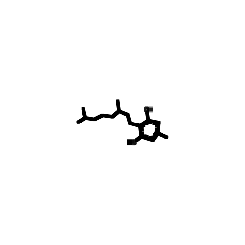 Cc1cc(O)c(CCC(C)CCCC(C)C)c(O)c1